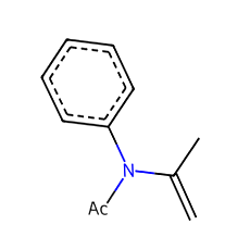 C=C(C)N(C(C)=O)c1ccccc1